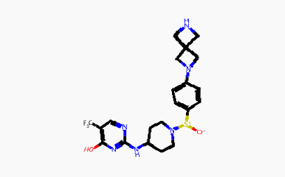 [O-][S+](c1ccc(N2CC3(CNC3)C2)cc1)N1CCC(Nc2ncc(C(F)(F)F)c(O)n2)CC1